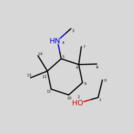 CCO.CNC1C(C)(C)CCCC1(C)C